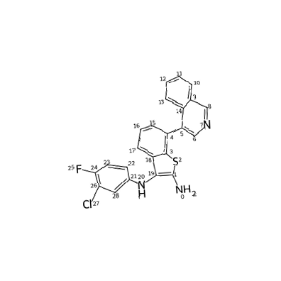 Nc1sc2c(-c3cncc4ccccc34)cccc2c1Nc1ccc(F)c(Cl)c1